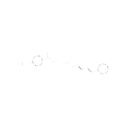 O=Cc1ccc(NCCCCCC=CC=Cc2ccccc2)cc1